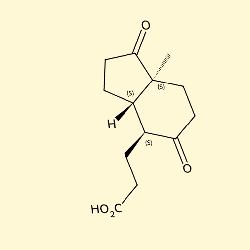 C[C@]12CCC(=O)[C@@H](CCC(=O)O)[C@@H]1CCC2=O